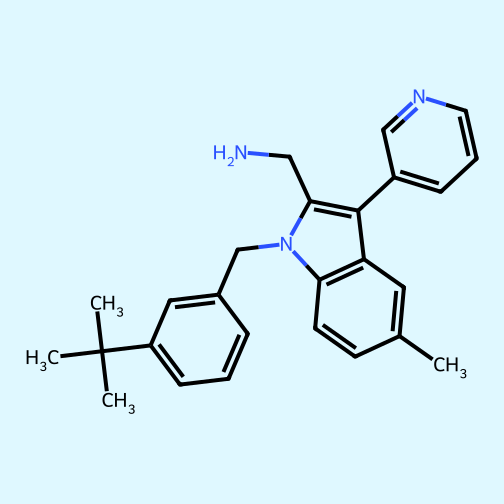 Cc1ccc2c(c1)c(-c1cccnc1)c(CN)n2Cc1cccc(C(C)(C)C)c1